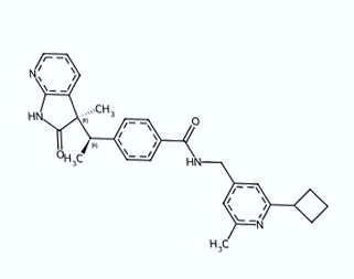 Cc1cc(CNC(=O)c2ccc([C@@H](C)[C@@]3(C)C(=O)Nc4ncccc43)cc2)cc(C2CCC2)n1